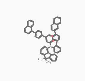 CC1(C)c2ccccc2-c2c(N(c3cccc(-c4ccc(-c5cccc6ccccc56)cc4)c3)c3ccccc3-c3ccc(-c4ccc5ccccc5c4)cc3)cccc21